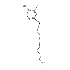 CCCCCCCCCc1ccc(Br)c(F)c1